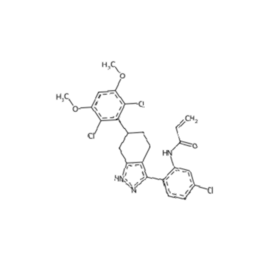 C=CC(=O)Nc1cc(Cl)ccc1-c1n[nH]c2c1CCC(c1c(Cl)c(OC)cc(OC)c1Cl)C2